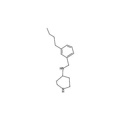 CCCCc1cccc(CNC2CCNCC2)c1